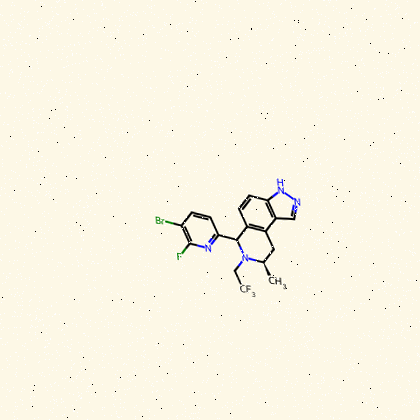 C[C@@H]1Cc2c(ccc3[nH]ncc23)C(c2ccc(Br)c(F)n2)N1CC(F)(F)F